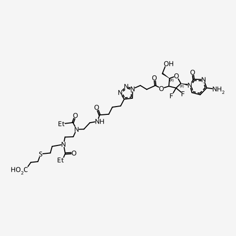 CCC(=O)N(CCNC(=O)CCCc1cn(CCC(=O)OC2[C@@H](CO)O[C@@H](n3ccc(N)nc3=O)C2(F)F)nn1)CCN(CCSCCC(=O)O)C(=O)CC